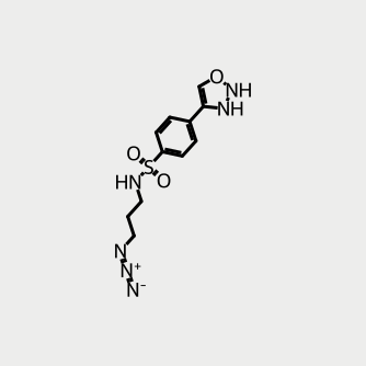 [N-]=[N+]=NCCCNS(=O)(=O)c1ccc(C2=CONN2)cc1